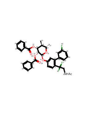 CC(=O)NCC(F)(F)c1ccc(O[C@@H]2O[C@@H](C)[C@H](C)[C@@H](OC(=O)c3ccccc3)[C@H]2OC(=O)c2ccccc2)cc1-c1cccc(F)c1